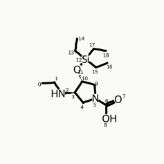 CCN[C@@H]1CN(C(=O)O)C[C@H]1O[Si](CC)(CC)CC